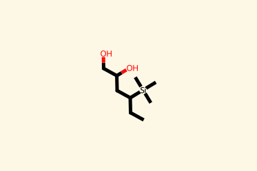 CCC(CC(O)CO)[Si](C)(C)C